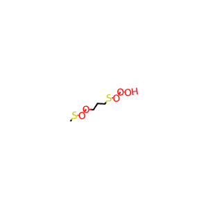 CSOOCCCSOOO